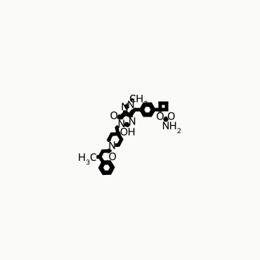 CC(CC(=O)N1CCC(O)(Cn2cnc3c(-c4ccc(C5(OC(N)=O)CCC5)cc4)n(C)nc3c2=O)CC1)c1ccccc1